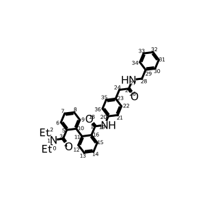 CCN(CC)C(=O)c1ccccc1-c1ccccc1C(=O)Nc1ccc(CC(=O)NCc2ccccc2)cc1